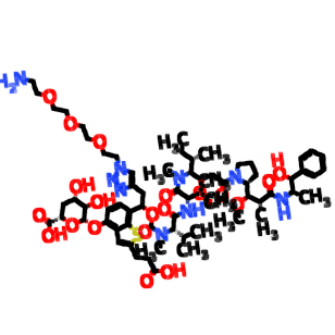 CC[C@H](C)[C@@H]([C@@H](CC(=O)N1CCC[C@H]1[C@H](OC)[C@@H](C)C(=O)N[C@H](C)[C@@H](O)c1ccccc1)OC)N(C)C(=O)[C@@H](NC(=O)[C@H](C(C)C)N(C)C(=O)OC(Cc1cn(CCOCCOCCOCCN)nn1)c1ccc(O[C@@H]2O[C@H](C(=O)O)C[C@H](O)[C@H]2O)c2cc(CCC(=O)O)sc12)C(C)C